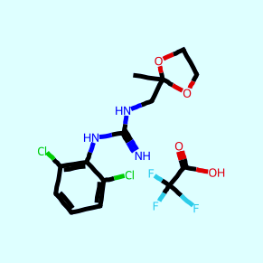 CC1(CNC(=N)Nc2c(Cl)cccc2Cl)OCCO1.O=C(O)C(F)(F)F